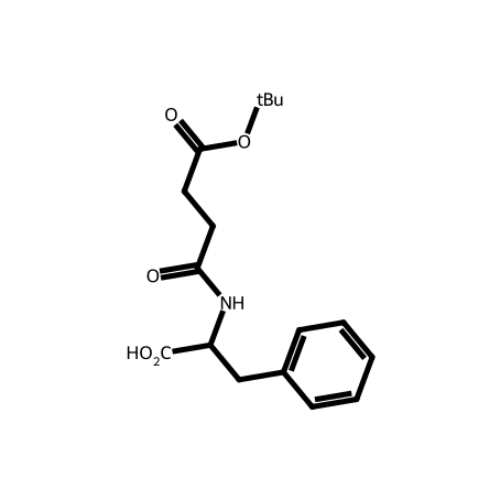 CC(C)(C)OC(=O)CCC(=O)NC(Cc1ccccc1)C(=O)O